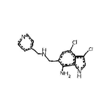 Nc1c(CNCc2ccncc2)cc(Cl)c2c(Cl)c[nH]c12